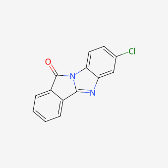 O=C1c2ccccc2-c2nc3cc(Cl)ccc3n21